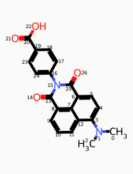 CN(C)c1ccc2c3c(cccc13)C(=O)N(c1ccc(C(=O)O)cc1)C2=O